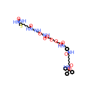 O=C(CCCCC1SCC2NC(=O)NC21)NCCNCCOCCNC(=O)OCCOCCOCCOC(=O)NCc1ccc(NC(=O)CCCCCCC(=O)NOC(c2ccccc2)(c2ccccc2)c2ccccc2)cc1